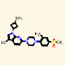 CN[C@H]1C[C@H](n2cc(C#N)c3ccc(N4CCN(c5ccc(S(C)(=O)=O)cc5C)CC4)nc32)C1